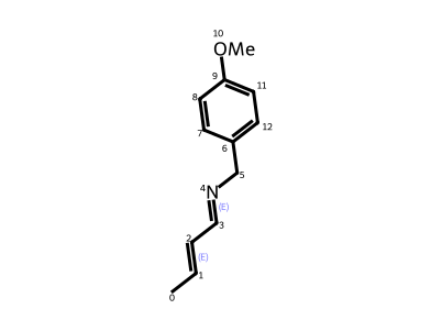 C/C=C/C=N/Cc1ccc(OC)cc1